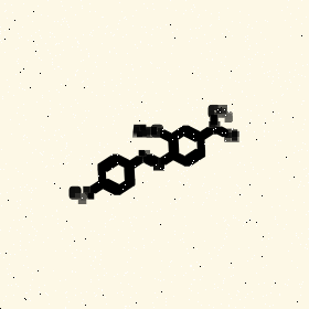 CCN(C)c1ccc(N=Nc2ccc([N+](=O)[O-])cc2)c(OC)c1